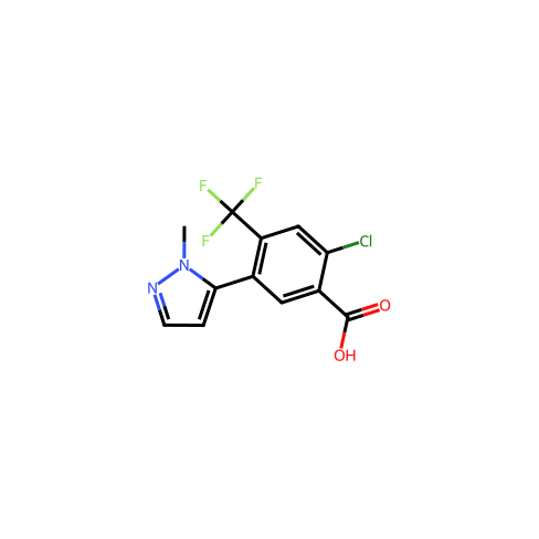 Cn1nccc1-c1cc(C(=O)O)c(Cl)cc1C(F)(F)F